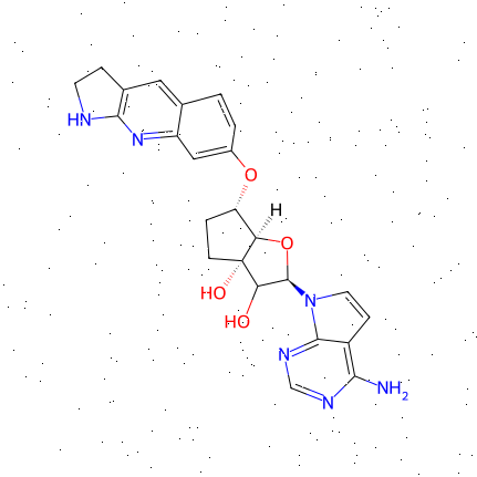 Nc1ncnc2c1ccn2[C@@H]1O[C@@H]2[C@@H](Oc3ccc4cc5c(nc4c3)NCC5)CC[C@]2(O)C1O